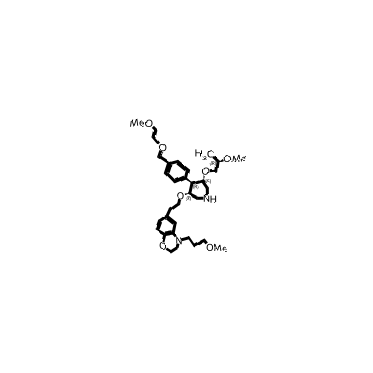 COCCCN1CCOc2ccc(CCO[C@H]3CNC[C@@H](OC[C@@H](C)OC)[C@@H]3c3ccc(COCCOC)cc3)cc21